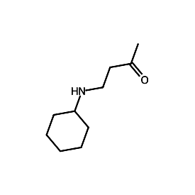 CC(=O)CCNC1CCCCC1